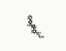 OCCCNc1cncc(-c2ncnc(Nc3ccc(N4CCOCC4)cc3)n2)c1